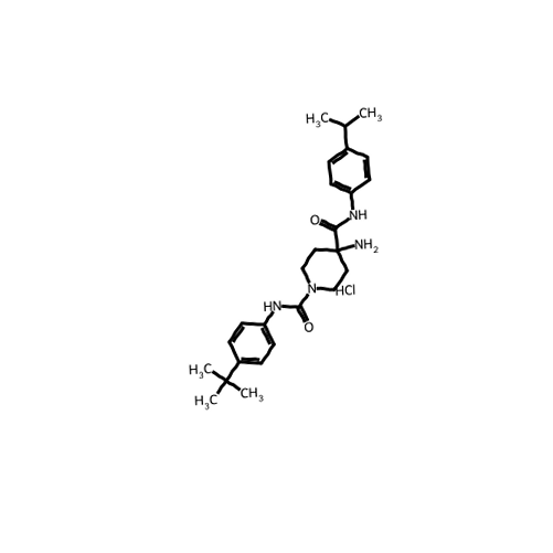 CC(C)c1ccc(NC(=O)C2(N)CCN(C(=O)Nc3ccc(C(C)(C)C)cc3)CC2)cc1.Cl